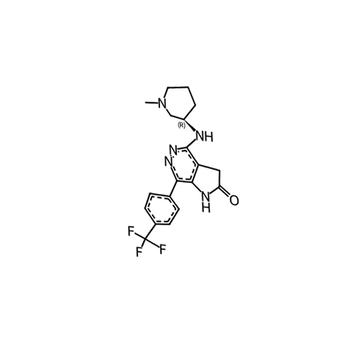 CN1CCC[C@@H](Nc2nnc(-c3ccc(C(F)(F)F)cc3)c3c2CC(=O)N3)C1